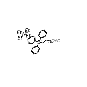 CCCCCCCCCCCC[B-](c1ccccc1)(c1ccccc1)c1ccccc1.CC[N+](CC)(CC)CC